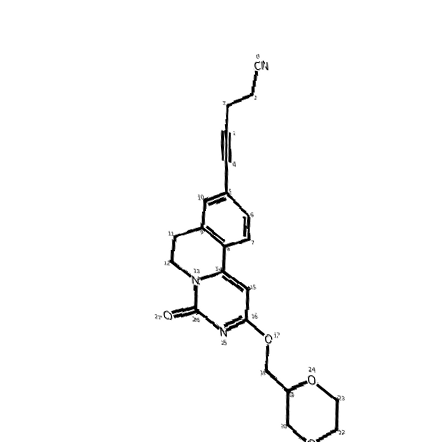 N#CCCC#Cc1ccc2c(c1)CCn1c-2cc(OCC2COCCO2)nc1=O